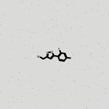 Fc1ccc(-c2cc(CBr)no2)c(F)c1